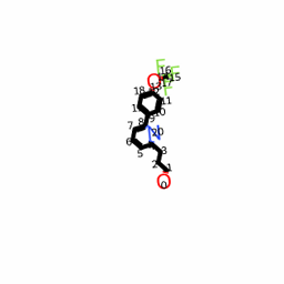 O=CCCc1cccc(-c2ccc(OC(F)(F)F)cc2)n1